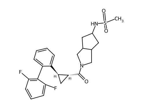 CS(=O)(=O)NC1CC2CN(C(=O)[C@@H]3C[C@H]3c3ccccc3-c3c(F)cccc3F)CC2C1